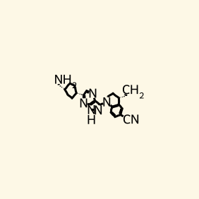 C=C[C@H]1CCN(c2n[nH]c3nc([C@H]4CC[C@@H](CN)CC4)cnc23)c2ccc(C#N)cc21